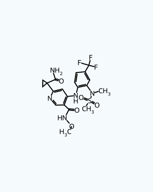 CONC(=O)c1cnc(C2(C(N)=O)CC2)cc1Nc1ccc(C(F)(F)F)cc1N(C)S(C)(=O)=O